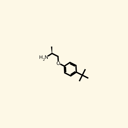 C[C@H](N)COc1ccc(C(C)(C)C)cc1